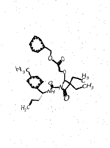 C=CC[C@@H](NC(=O)N1C(=O)C(CC)(CC)C1OCC(=O)OCc1ccccc1)c1ccc(C)cc1